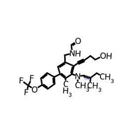 CC/C(C)=C/N(C)c1c(C)c(-c2ccc(OC(F)(F)F)cc2)cc(CNC=O)c1C#CCCO